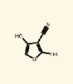 N#Cc1c(O)coc1O